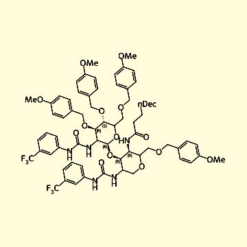 CCCCCCCCCCCCC(=O)N[C@H]1C(COCc2ccc(OC)cc2)OCC(NC(=O)Nc2cccc(C(F)(F)F)c2)[C@H]1O[C@@H]1OC(COCc2ccc(OC)cc2)[C@@H](OCc2ccc(OC)cc2)[C@H](OCc2ccc(OC)cc2)C1NC(=O)Nc1cccc(C(F)(F)F)c1